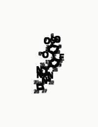 COc1cc(S(C)(=O)=O)ccc1-c1cc(-c2cnnc3c2ncn3C2=CC=C2)ccc1F